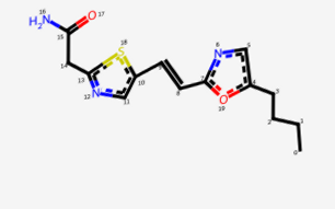 CCCCc1cnc(/C=C/c2cnc(CC(N)=O)s2)o1